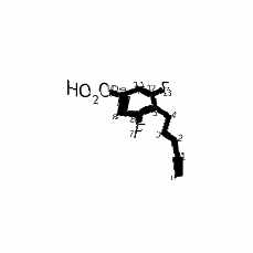 C#CCCCc1c(F)cc(C(=O)O)cc1F